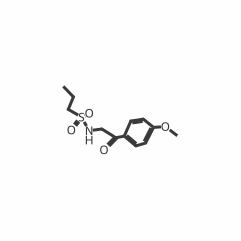 CCCS(=O)(=O)NCC(=O)c1ccc(OC)cc1